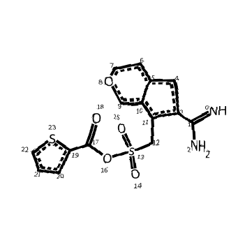 N=C(N)c1cc2ccocc-2c1CS(=O)(=O)OC(=O)c1cccs1